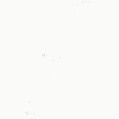 [CH2]c1c(CCCCCCCCCCCCCCCCCCCCCCC)cccc1CCCCCCCCCCCCCCCCCCCCCCC